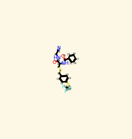 N#CCNC(=O)C(CSCc1ccc(SC(F)(F)F)cc1)NC(=O)c1ccccc1